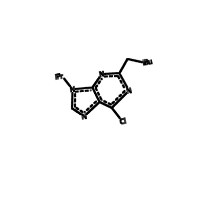 CCC(C)Cc1nc(Cl)c2ncn(C(C)C)c2n1